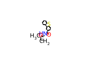 C=C=C(CNC(=O)c1ccc2sc3ccccc3c2c1)OC